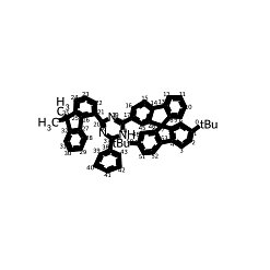 CC(C)(C)c1ccc2c(c1)C1(c3ccccc3-c3ccc(C4=NC(c5cccc6c5-c5ccccc5C6(C)C)=NC(c5ccccc5)N4)cc31)c1cc(C(C)(C)C)ccc1-2